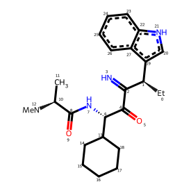 CC[C@@H](C(=N)C(=O)[C@@H](NC(=O)[C@H](C)NC)C1CCCCC1)c1c[nH]c2ccccc12